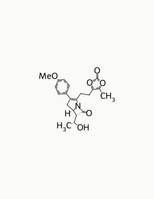 COc1ccc(C2=C(CCc3oc(=O)oc3C)N3C(=O)[C@H]([C@@H](C)O)[C@H]3C2)cc1